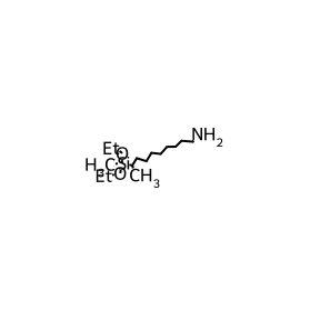 CCO[Si](C)(OCC)C(C)CCCCCCCCN